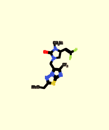 CCOC(=O)N1C(=O)N(Cc2c(C(F)(F)F)nc3sc(COC)nn23)CC1C=C(F)F